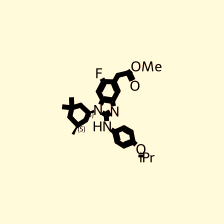 COC(=O)Cc1cc2nc(Nc3ccc(OC(C)C)cc3)n([C@H]3C[C@@H](C)CC(C)(C)C3)c2cc1F